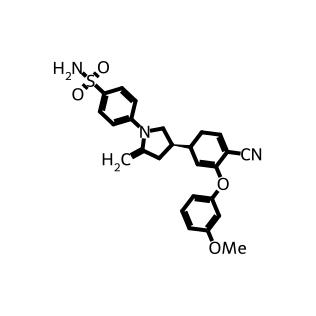 C=C1C[C@H](C2C=C(Oc3cccc(OC)c3)C(C#N)=CC2)CN1c1ccc(S(N)(=O)=O)cc1